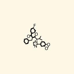 CC(C)C(c1oc2cc(F)ccc2c(=O)c1Cc1ccccc1)N1CCN=C1c1ccc2c(c1)OCO2